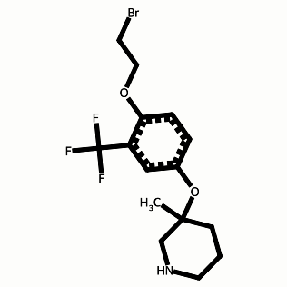 CC1(Oc2ccc(OCCBr)c(C(F)(F)F)c2)CCCNC1